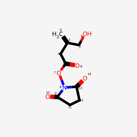 C=C(CO)CC(=O)ON1C(=O)CCC1=O